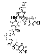 O=C(NC1CCCC1CNC(=O)c1ccc(Nc2nc(NC3(c4ccc(Cl)cc4)CC3)nc(OCC(F)(F)F)n2)cc1)C(=O)Oc1ccc(F)cc1